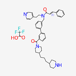 O=C(/C=C/c1ccccc1)N(CCc1ccncc1)Cc1cccc(-c2cccc(C(=O)N3CCC(CCCC4CCNCC4)CC3)c2)c1.O=C(O)C(F)(F)F